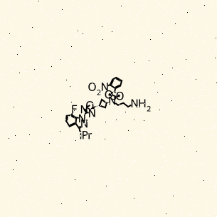 CC(C)c1nn(-c2noc([C@H]3C[C@@H](N(CCCN)S(=O)(=O)c4ccccc4[N+](=O)[O-])C3)n2)c2c(F)cccc12